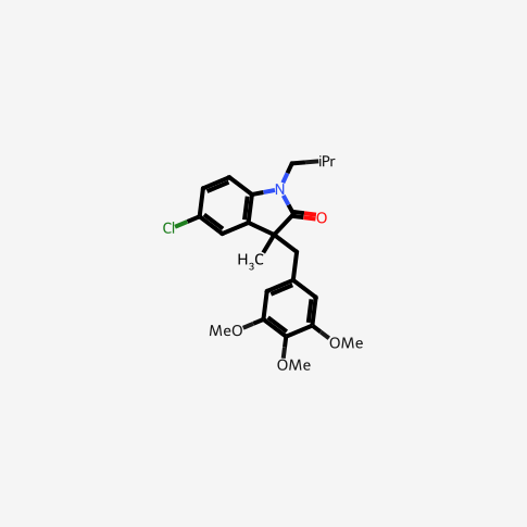 COc1cc(CC2(C)C(=O)N(CC(C)C)c3ccc(Cl)cc32)cc(OC)c1OC